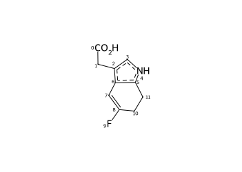 O=C(O)Cc1c[nH]c2c1C=C(F)CC2